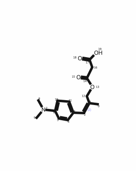 C/C(=C/c1ccc(N(C)C)cc1)COC(=O)CC(=O)O